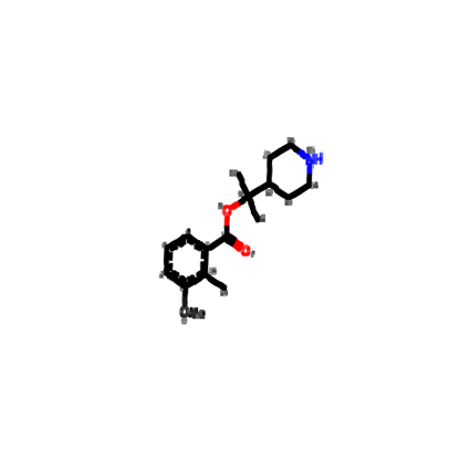 COc1cccc(C(=O)OC(C)(C)C2CCNCC2)c1C